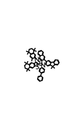 Cc1cc2c(cc1N1c3c4c(cc5ccccc35)-c3cc5c(cc3N(c3ccc(-c6ccccc6)cc3)B4c3sc4cc6c(cc4c31)C(C)(C)CCC6(C)C)C(C)(C)c1ccccc1-5)C(C)(C)CCC2(C)C